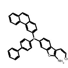 C/C=C\c1c(N)oc2cc(N(c3ccc(-c4ccccc4)cc3)c3ccc4ccc5ccccc5c4c3)ccc12